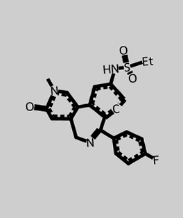 CCS(=O)(=O)Nc1ccc2c(c1)-c1cn(C)c(=O)cc1CN=C2c1ccc(F)cc1